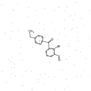 CCc1ccc(C(=O)c2cccc([C]=O)c2Br)cc1